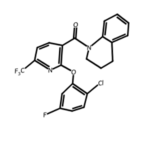 O=C(c1ccc(C(F)(F)F)nc1Oc1cc(F)ccc1Cl)N1CCCc2ccccc21